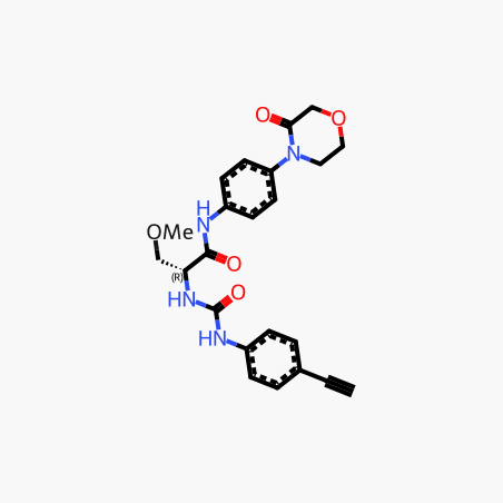 C#Cc1ccc(NC(=O)N[C@H](COC)C(=O)Nc2ccc(N3CCOCC3=O)cc2)cc1